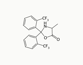 CC1NC(c2ccccc2C(F)(F)F)(c2ccccc2C(F)(F)F)OC1=O